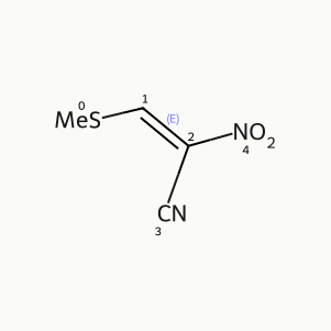 CS/C=C(\C#N)[N+](=O)[O-]